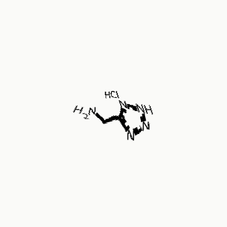 Cl.NCc1nn[nH]n1